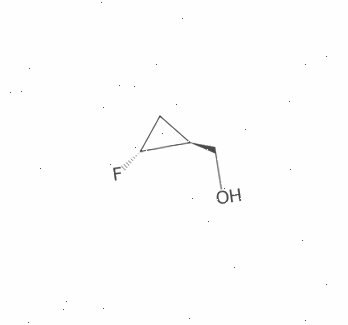 OC[C@@H]1C[C@H]1F